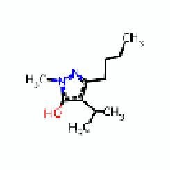 CCCCc1nn(C)c(O)c1C(C)C